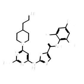 Bc1cc(C)c(NC(=O)c2cnc(Nc3cc(N4CCC(CCO)CC4)nc(C)n3)s2)c(Cl)c1